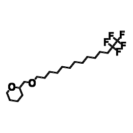 FC(F)(F)C(F)(F)CCCCCCCCCCCCOCC1CCCCO1